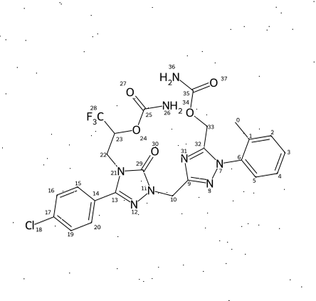 Cc1ccccc1-n1nc(Cn2nc(-c3ccc(Cl)cc3)n(CC(OC(N)=O)C(F)(F)F)c2=O)nc1COC(N)=O